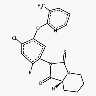 O=C1[C@H]2CCCCN2C(=S)N1c1cc(Oc2ncccc2C(F)(F)F)c(Cl)cc1F